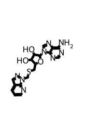 Nc1ncnc2c1ncn2C1OC(CSCn2ncc3cccnc32)C(O)C1O